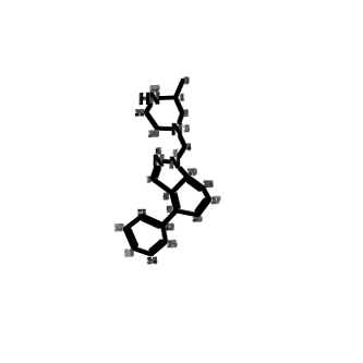 CC1CN(Cn2ncc3c(-c4ccccc4)cccc32)CCN1